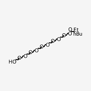 CCCCC(CC)C(=O)OCCOCCOCCOCCOCCOCCOCCOCCOCCOCCO